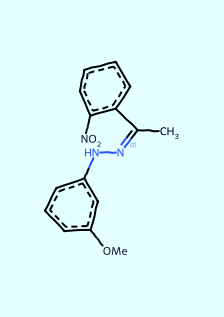 COc1cccc(N/N=C(/C)c2ccccc2[N+](=O)[O-])c1